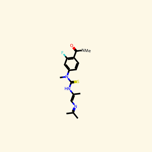 CNC(=O)c1ccc(N(C)C(=S)N/C(C)=C/N=C(C)C)cc1F